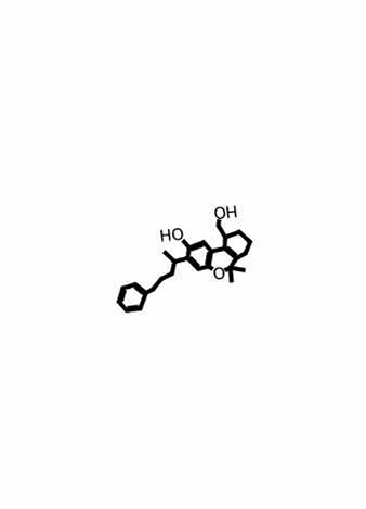 CC(CCCc1ccccc1)c1cc2c(cc1O)C1=C(CCCC1CO)C(C)(C)O2